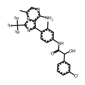 [2H]C([2H])([2H])c1nc(-c2ccc(NC(=O)C(O)c3cccc(Cl)c3)cc2C)c2c(N)ncc(C)n12